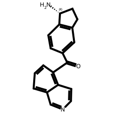 N[C@@H]1CCc2cc(C(=O)c3cccc4cnccc34)ccc21